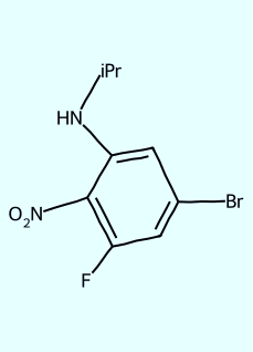 CC(C)Nc1cc(Br)cc(F)c1[N+](=O)[O-]